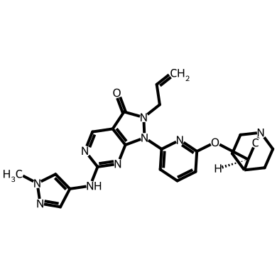 C=CCn1c(=O)c2cnc(Nc3cnn(C)c3)nc2n1-c1cccc(O[C@H]2CN3CCC2CC3)n1